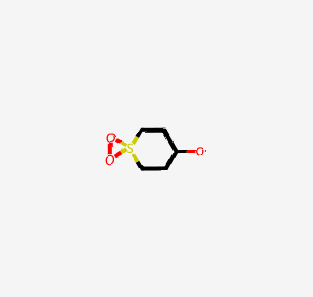 [O]C1CCS2(CC1)OO2